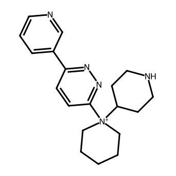 c1cncc(-c2ccc([N+]3(C4CCNCC4)CCCCC3)nn2)c1